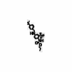 CCCOC(=O)Nc1ccc(NCc2ccc(SC)cc2)cc1C(F)(F)F